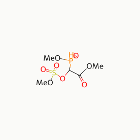 COC(=O)C(OS(=O)(=O)OC)[PH](=O)OC